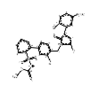 CCc1nn(-c2cc(NC(C)=O)ccc2Cl)c(=O)n1Cc1ccc(-c2ccccc2S(=O)(=O)NC(=O)OC(C)(C)C)cc1F